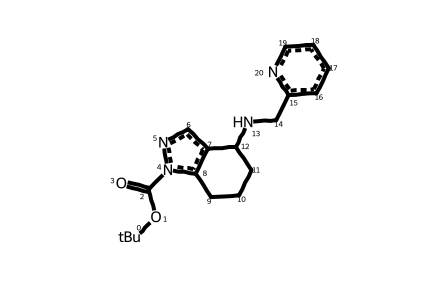 CC(C)(C)OC(=O)n1ncc2c1CCCC2NCc1ccccn1